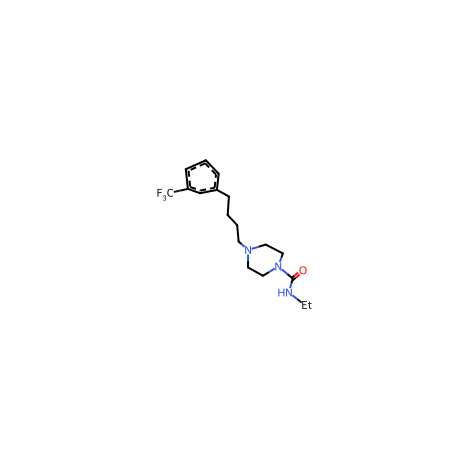 CCNC(=O)N1CCN(CCCCc2cccc(C(F)(F)F)c2)CC1